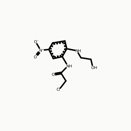 O=C(CCl)Nc1cc([N+](=O)[O-])ccc1NCCO